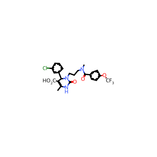 CC1=C(C(=O)O)C(c2cccc(Cl)c2)N(CCCN(C)C(=O)c2ccc(OC(F)(F)F)cc2)C(=O)N1